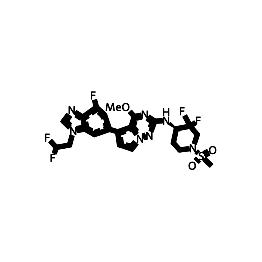 COc1nc(N[C@@H]2CCN(S(C)(=O)=O)CC2(F)F)nn2ccc(-c3cc(F)c4ncn(CC(F)F)c4c3)c12